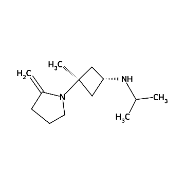 C=C1CCCN1[C@]1(C)C[C@@H](NC(C)C)C1